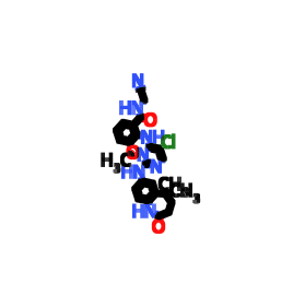 COc1cccc(C(=O)NCC#N)c1Nc1nc(Nc2ccc3c(c2)C(C)(C)CCC(=O)N3)ncc1Cl